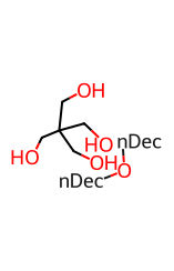 CCCCCCCCCCOCCCCCCCCCC.OCC(CO)(CO)CO